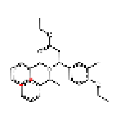 CCOC(=O)CC(c1ccc(OCC)c(F)c1)N(Cc1ccccc1)C(C)c1ccccc1